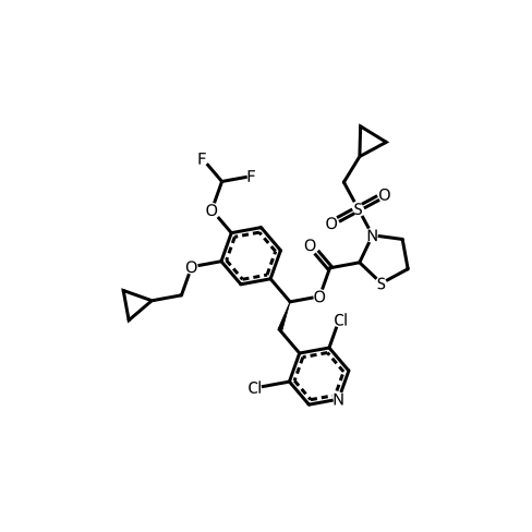 O=C(O[C@@H](Cc1c(Cl)cncc1Cl)c1ccc(OC(F)F)c(OCC2CC2)c1)C1SCCN1S(=O)(=O)CC1CC1